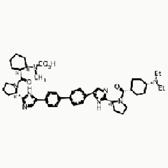 CCN(CC)[C@H]1CC[C@@H](C(=O)N2CCC[C@H]2c2ncc(-c3ccc(-c4ccc(-c5cnc([C@@H]6CCCN6C(=O)[C@H]6CCCC[C@H]6N(C)C(=O)O)[nH]5)cc4)cc3)[nH]2)CC1